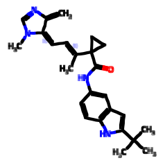 C=c1ncn(C)/c1=C/C=C(\C)C1(C(=O)Nc2ccc3[nH]c(C(C)(C)C)cc3c2)CC1